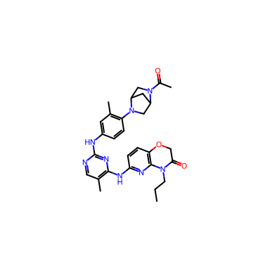 CCCN1C(=O)COc2ccc(Nc3nc(Nc4ccc(N5CC6CC5CN6C(C)=O)c(C)c4)ncc3C)nc21